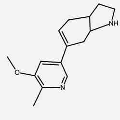 COc1cc(C2=CCC3CCNC3C2)cnc1C